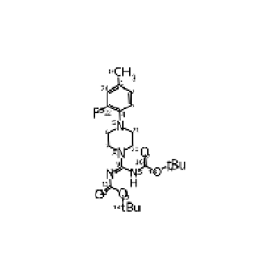 Cc1ccc(N2CCN(C(=NC(=O)OC(C)(C)C)NC(=O)OC(C)(C)C)CC2)c(F)c1